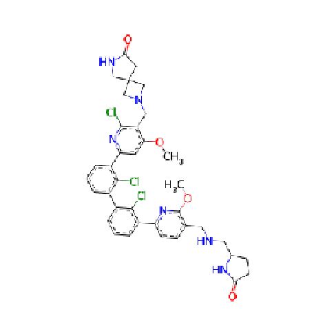 COc1cc(-c2cccc(-c3cccc(-c4ccc(CNCC5CCC(=O)N5)c(OC)n4)c3Cl)c2Cl)nc(Cl)c1CN1CC2(CNC(=O)C2)C1